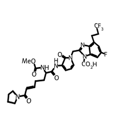 COC(=O)NC(CC/C=C/C(=O)N1CCCC1)C(=O)Nc1cccn(Cc2nc3c(CCC(F)(F)F)cc(F)cc3n2C(=O)O)c1=O